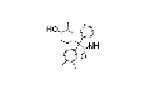 CC1=CC(C2(c3ccc(C)c(C)c3)C(=O)Nc3ccccc32)CC=C1O